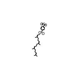 CC(C)=CCCC(C)=CCCC(C)=CCCC(C)=CCOC(=O)c1ccc(S(C)(=O)=O)cc1